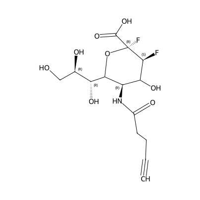 C#CCCC(=O)N[C@H]1C([C@H](O)[C@H](O)CO)O[C@@](F)(C(=O)O)[C@@H](F)C1O